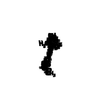 C=CC(=O)N1CCCC(S(=O)(=O)c2ccc(N3CC(F)(CN4CCC(C(CNC(C)=O)(c5cccc(F)c5)[C@H]5CCC[C@@H]5NC(=O)OC)CC4)C3)cc2)C1